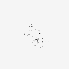 O=C(NCc1cccc(CNc2cc(-c3ccccc3Cl)nc3c(Br)cnn23)c1)C1(c2ccccc2)CC1